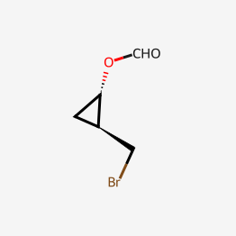 O=CO[C@H]1C[C@@H]1CBr